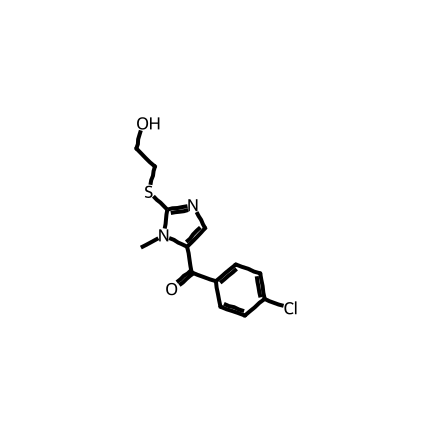 Cn1c(C(=O)c2ccc(Cl)cc2)cnc1SCCO